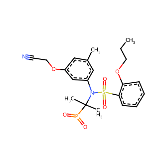 CCCOc1ccccc1S(=O)(=O)N(c1cc(C)cc(OCC#N)c1)C(C)(C)P(=O)=O